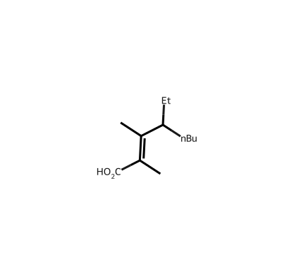 CCCCC(CC)C(C)=C(C)C(=O)O